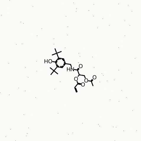 C=CC(=O)OC(COC(C)=O)C(=O)NCc1cc(C(C)(C)C)c(O)c(C(C)(C)C)c1